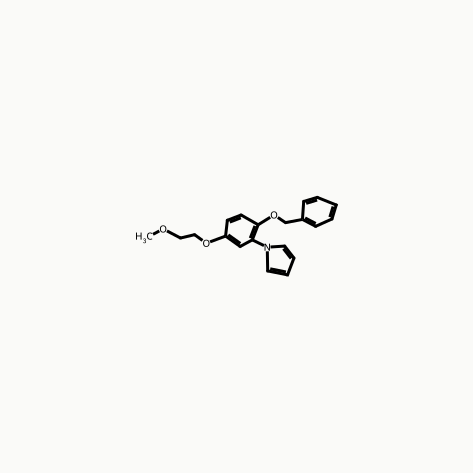 COCCOc1ccc(OCc2ccccc2)c(-n2cccc2)c1